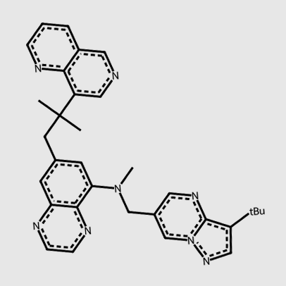 CN(Cc1cnc2c(C(C)(C)C)cnn2c1)c1cc(CC(C)(C)c2cncc3cccnc23)cc2nccnc12